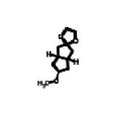 CO[C@H]1C[C@@H]2CC3(C[C@@H]2C1)OCCO3